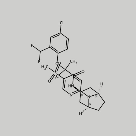 CC(C)(Oc1ccc(Cl)cc1C(F)F)C(=O)N[C@H]1C[C@H]2CC[C@@H](C1)N2c1ccc(S(C)(=O)=O)cn1